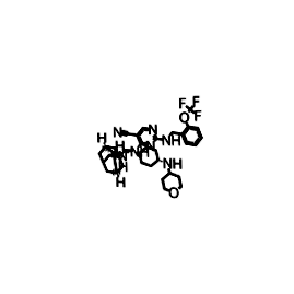 N#Cc1cnc(NCc2ccccc2OC(F)(F)F)nc1NC[C@]12CC3C[C@H](C1)[C@@H](NC[C@H]1CC[C@@H](NC4CCOCC4)CC1)[C@@H](C3)C2